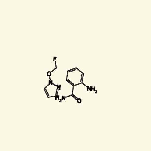 FCOn1cccn1.NC(=O)c1ccccc1N